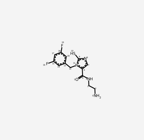 NCCNC(=O)c1cnc(S)n1Cc1cc(F)cc(F)c1